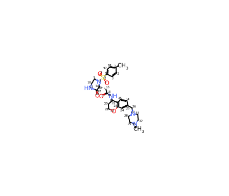 Cc1ccc(S(=O)(=O)N2CCNC(=O)[C@H]2CC(=O)N[C@@H]2CCOc3cc(CN4CCN(C)CC4)ccc32)cc1